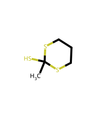 CC1(S)SCCCS1